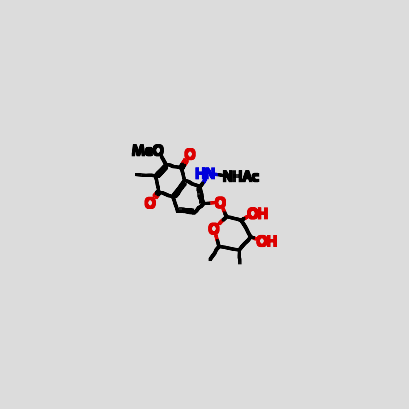 COC1=C(C)C(=O)c2ccc(OC3OC(C)C(C)C(O)C3O)c(NNC(C)=O)c2C1=O